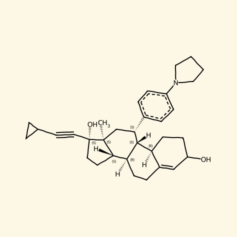 C[C@]12C[C@H](c3ccc(N4CCCC4)cc3)[C@H]3[C@@H](CCC4=CC(O)CC[C@@H]43)[C@@H]1CC[C@@]2(O)C#CC1CC1